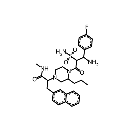 CCCC1CN(C(Cc2ccc3ccccc3c2)C(=O)NC)CCN1C(=O)C(C(N)c1ccc(F)cc1)S(N)(=O)=O